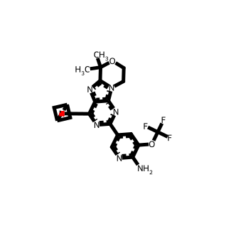 CC1(C)OCCn2c1nc1c(N3CC4CC3C4)nc(-c3cnc(N)c(OC(F)(F)F)c3)nc12